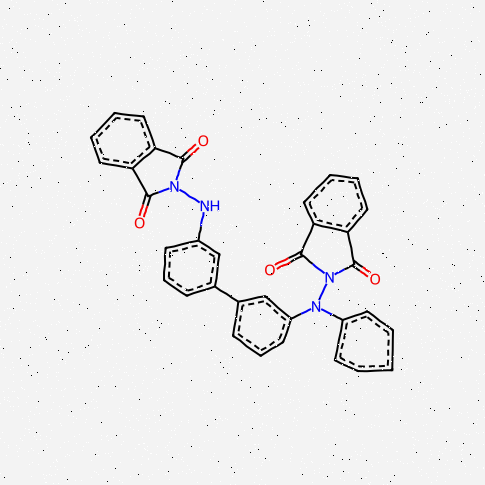 O=C1c2ccccc2C(=O)N1Nc1cccc(-c2cccc(N(c3ccccc3)N3C(=O)c4ccccc4C3=O)c2)c1